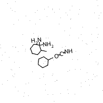 CC1CCCCC1.CC1CCCCC1(N)N.N=C=O